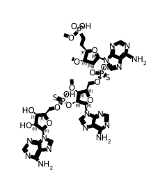 CO[C@H]1[C@@H](O[P@@](O)(=S)OC[C@H]2O[C@@H](n3cnc4c(N)ncnc43)[C@H](O[P@](O)(=S)OC[C@H]3O[C@@H](n4cnc5c(N)ncnc54)[C@H](O)[C@@H]3O)[C@@H]2OC)[C@H](n2cnc3c(N)ncnc32)O[C@@H]1CCP(=O)(O)OC